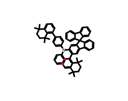 CC1(C)CCC(C)(C)c2c(-c3ccc(N(c4ccccc4)c4cc5c(cc4-c4cccc6c4C(C)(C)CCC6(C)C)-c4ccccc4C54c5ccccc5-c5ccccc54)cc3)cccc21